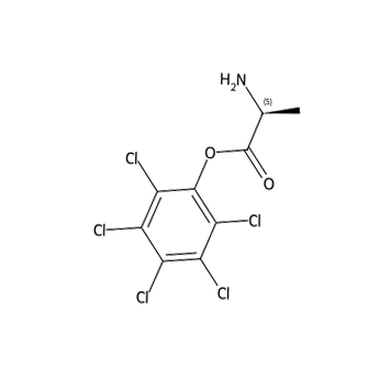 C[C@H](N)C(=O)Oc1c(Cl)c(Cl)c(Cl)c(Cl)c1Cl